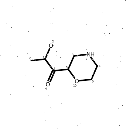 CC([O])C(=O)C1CNCCO1